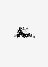 CN1CCC(n2c(Nc3nc4ccc(OC(F)(F)F)cc4s3)nc3cc(C(=O)O)ccc32)C1